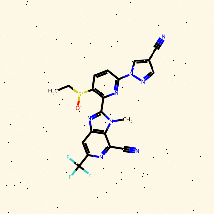 CC[S+]([O-])c1ccc(-n2cc(C#N)cn2)nc1-c1nc2cc(C(F)(F)F)nc(C#N)c2n1C